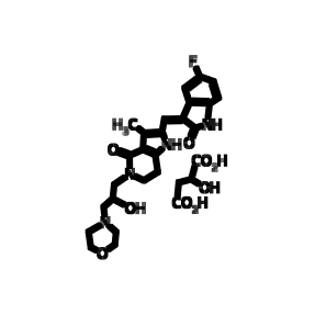 Cc1c(/C=C2\C(=O)Nc3ccc(F)cc32)[nH]c2c1C(=O)N(CC(O)CN1CCOCC1)CC2.O=C(O)CC(O)C(=O)O